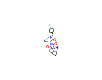 C[C@@H](C1CCC1)N(Cc1ccc(F)cc1)C(=O)CN1C(=O)NC2(CCc3ccccc32)C1=O